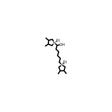 CC[N+]1(CCCCCC(O)[N+]2(CC)CC(C)C(C)C2)CC(C)C(C)C1